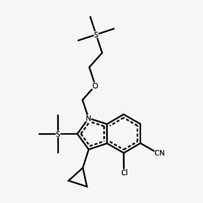 CS(C)(C)CCOCn1c(S(C)(C)C)c(C2CC2)c2c(Cl)c(C#N)ccc21